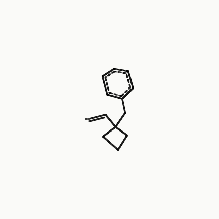 [CH]=CC1(Cc2ccccc2)CCC1